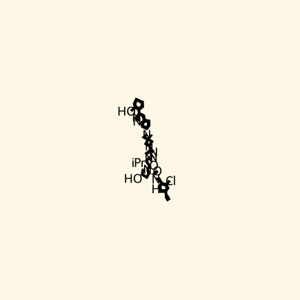 C#Cc1ccc(CNC(=O)[C@@H]2C[C@@H](O)CN2C(=O)C(C(C)C)n2cc(N3CC4(CN(c5ccc6cc(-c7ccccc7O)nnc6c5)C4)C3)nn2)c(Cl)c1